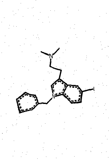 CN(C)CCc1cn(Cc2ccccc2)c2ccc(I)cc12